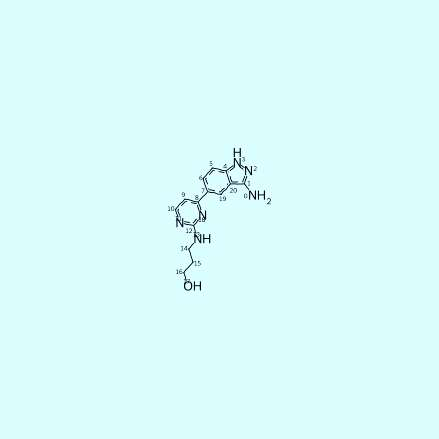 Nc1n[nH]c2ccc(-c3ccnc(NCCCO)n3)cc12